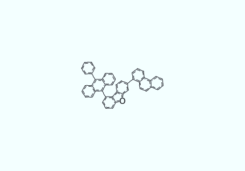 c1ccc(-c2c3ccccc3c(-c3cccc4oc5cc(-c6cccc7c6ccc6ccccc67)ccc5c34)c3ccccc23)cc1